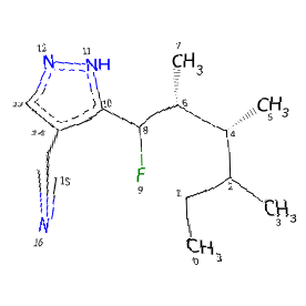 CCC(C)[C@@H](C)[C@@H](C)C(F)c1[nH]ncc1C#N